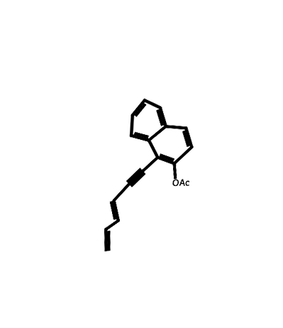 C=CC=CC#Cc1c(OC(C)=O)ccc2ccccc12